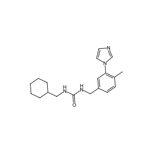 Cc1ccc(CNC(=O)NCC2CCCCC2)cc1-n1ccnc1